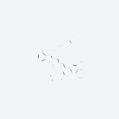 CC(C)(C)C1=C/C(=C\C=C\C2=[N+](CCCCCC(=O)O)c3c(F)cc(F)cc3C2(C)CCCCS(=O)(=O)O)c2cc3c4c(c2O1)CCCN4CCC3